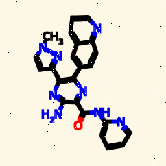 Cn1ccc(-c2nc(N)c(C(=O)Nc3ccccn3)nc2-c2ccc3ncccc3c2)n1